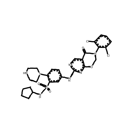 O=C1c2cnc(Nc3ccc(N4CCNCC4)c(S(=O)(=O)NC4CCCC4)c3)nc2OCN1c1c(Cl)cccc1Cl